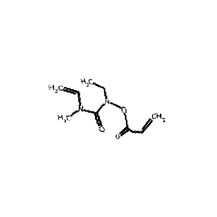 C=CC(=O)ON(CC)C(=O)N(C)C=C